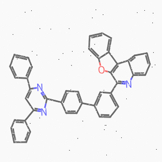 c1ccc(-c2cc(-c3ccccc3)nc(-c3ccc(-c4cccc(-c5nc6ccccc6c6c5oc5ccccc56)c4)cc3)n2)cc1